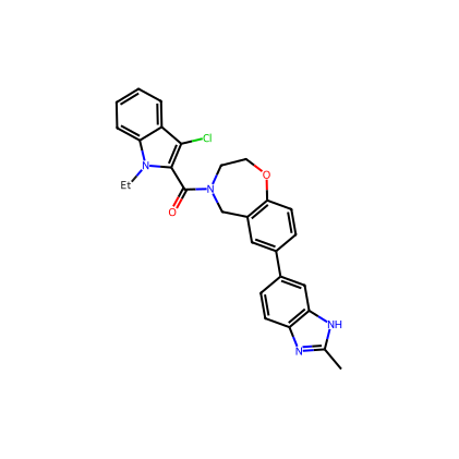 CCn1c(C(=O)N2CCOc3ccc(-c4ccc5nc(C)[nH]c5c4)cc3C2)c(Cl)c2ccccc21